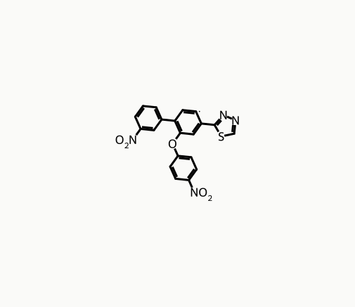 O=[N+]([O-])c1ccc(Oc2cc(-c3nncs3)[c]cc2-c2cccc([N+](=O)[O-])c2)cc1